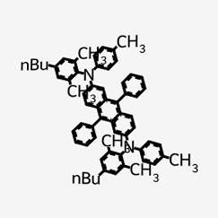 CCCCc1cc(C)c(N(c2ccc(C)cc2)c2ccc3c(-c4ccccc4)c4cc(N(c5ccc(C)cc5)c5c(C)cc(CCCC)cc5C)ccc4c(-c4ccccc4)c3c2)c(C)c1